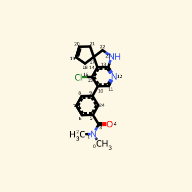 CN(C)C(=O)c1cccc(-c2cnc3c(c2Cl)C2(CC=CC2)CN3)c1